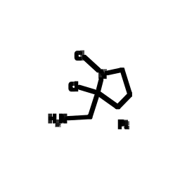 NCC1(Cl)CCCN1Cl.[Pt]